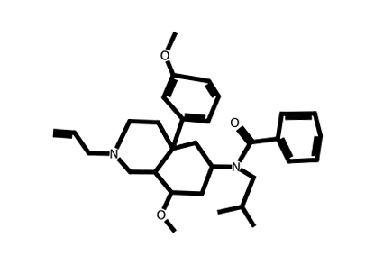 C=CCN1CCC2(c3cccc(OC)c3)CC(N(CC(C)C)C(=O)c3ccccc3)CC(OC)C2C1